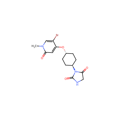 Cn1cc(Br)c(O[C@H]2CC[C@H](N3C(=O)CNC3=O)CC2)cc1=O